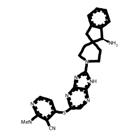 CNc1nccc(Sc2cnc3[nH]c(N4CCC5(CC4)Cc4ccccc4[C@H]5N)nc3n2)c1C#N